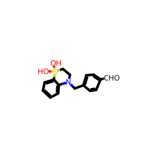 O=Cc1ccc(CN2CCS(O)(O)c3ccccc32)cc1